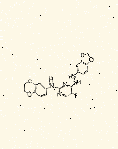 Fc1cnc(Nc2ccc3c(c2)OCCO3)nc1NNc1ccc2c(c1)OCO2